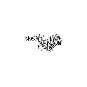 COc1ccc2cc([C@H](NC(=O)c3ccc4cccnc4c3)c3ncccc3C(F)(F)F)cnc2c1